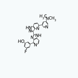 CN(C)c1cncc(-c2ccc3[nH]nc(-c4nc5c(-c6cc(O)cc(F)c6)nccc5[nH]4)c3n2)c1